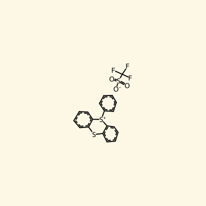 O=S(=O)([O-])C(F)(F)F.c1ccc([S+]2c3ccccc3Sc3ccccc32)cc1